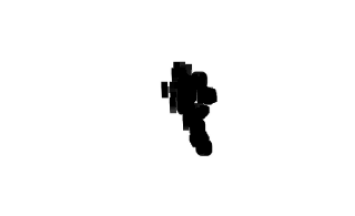 CCOc1cc(OCc2ccc(OC)cc2)ncc1-c1ccc(CC(=O)Nc2cc(C(=O)NC[C@H]3CCCN3C)cc(C(F)(F)F)c2)c(F)c1